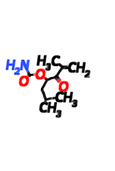 C=C(C)C(=O)C(CC(C)C)OC(N)=O